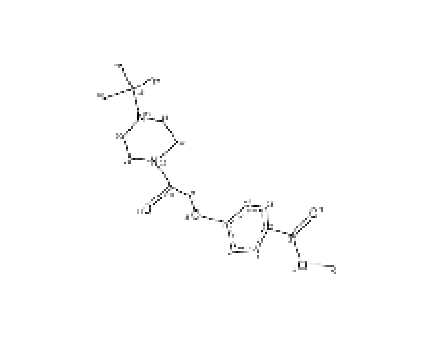 COC(=O)c1ccc(OCC(=O)N2CCN(C(C)(C)C)CC2)cc1